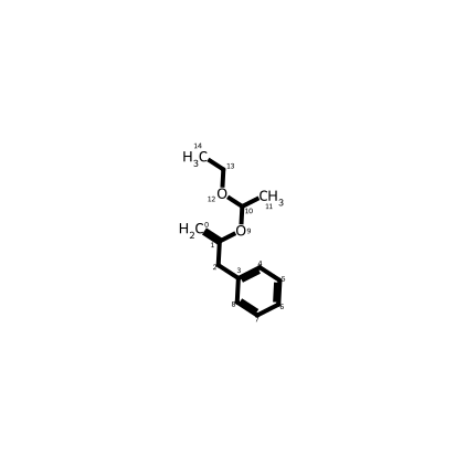 C=C(Cc1ccccc1)OC(C)OCC